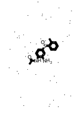 CC(=O)Nc1ccc([S+]([O-])c2ccccc2C)cc1N